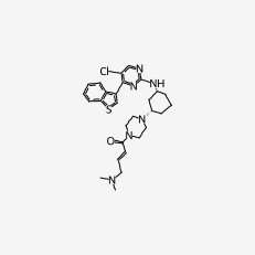 CN(C)C/C=C/C(=O)N1CCN([C@H]2CCC[C@@H](Nc3ncc(Cl)c(-c4csc5ccccc45)n3)C2)CC1